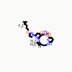 CC1(C)C[C@H]2CCNc3cccc(n3)S(=O)(=O)NC(=O)c3ccc(-n4ccc(OCCCC5(C(F)(F)F)CC5)n4)nc3N1C2